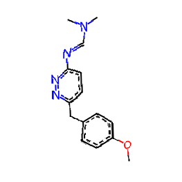 COc1ccc(Cc2ccc(N=CN(C)C)nn2)cc1